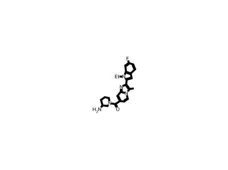 CCn1c(-c2nc3cc(C(=O)N4CCCC(N)C4)ccn3c2C)cc2ccc(F)cc21